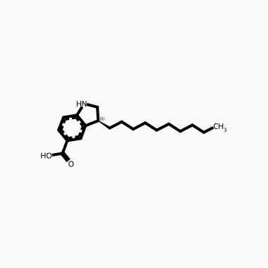 CCCCCCCCCC[C@@H]1CNc2ccc(C(=O)O)cc21